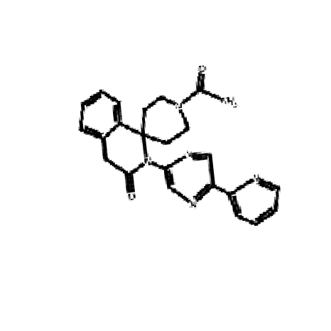 NC(=O)N1CCC2(CC1)c1ccccc1CC(=O)N2c1cnc(-c2ccccn2)cn1